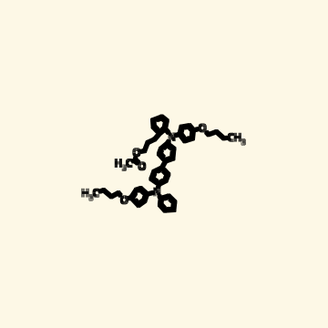 CCCCOc1ccc(N(c2ccccc2)c2ccc(-c3ccc(N(c4ccc(OCCCC)cc4)c4ccccc4CCCOC(C)=O)cc3)cc2)cc1